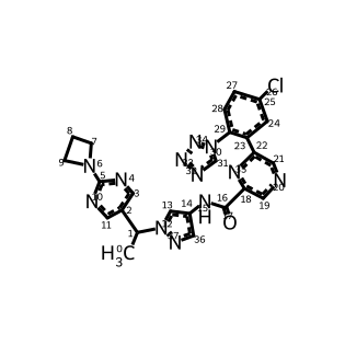 CC(c1cnc(N2CCC2)nc1)n1cc(NC(=O)c2cncc(-c3cc(Cl)ccc3-n3cnnn3)n2)cn1